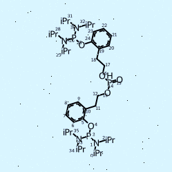 CC(C)N(C(C)C)P(Oc1ccccc1CCO[PH](=O)OCCc1ccccc1OP(N(C(C)C)C(C)C)N(C(C)C)C(C)C)N(C(C)C)C(C)C